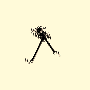 CCCCCCCCCCCCCCCCCCCCCC(=O)N[C@@H](C(O)[C@@H]1O[C@H](CO)[C@@H](O[C@@H]2O[C@H](CO)[C@H](O)[C@H](O)[C@H]2O)[C@H](O)[C@H]1O)[C@H](O)CCCCCCCCCCCCCCC